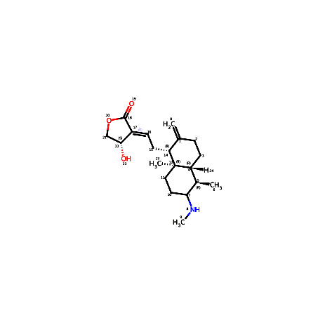 C=C1CC[C@@H]2[C@@H](C)C(NC)CC[C@@]2(C)[C@@H]1C/C=C1/C(=O)OC[C@H]1O